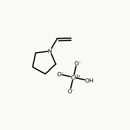 C=CN1CCCC1.[O-][Cl+3]([O-])([O-])O